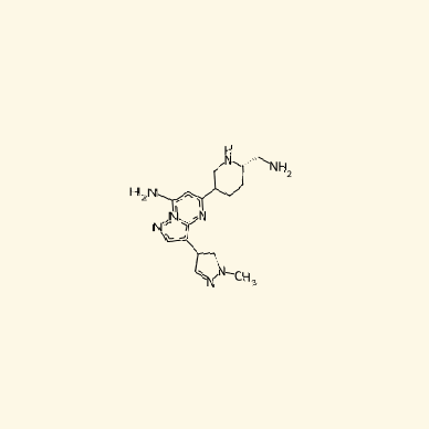 CN1CC(c2cnn3c(N)cc(C4CC[C@@H](CN)NC4)nc23)C=N1